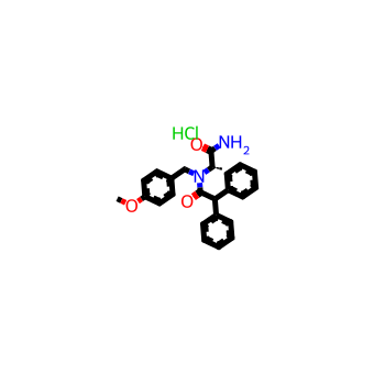 COc1ccc(CN(C(=O)C(c2ccccc2)c2ccccc2)[C@@H](C)C(N)=O)cc1.Cl